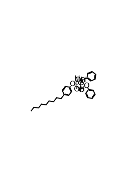 CCCCCCCCCc1ccc(O[PH](O)(O)P(=O)(Oc2ccccc2)Oc2ccccc2)cc1